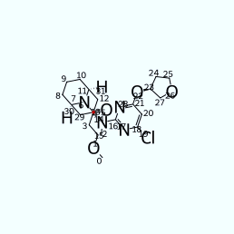 COCCC(=O)N1[C@@H]2CCC[C@H]1C[C@H](N(C)c1nc(Cl)cc(O[C@H]3CCOC3)n1)C2